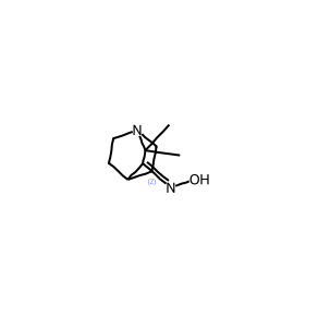 CC1(C)/C(=N\O)C2CCN1CC2